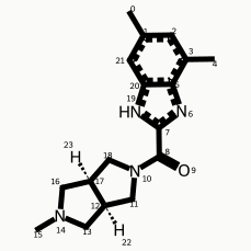 Cc1cc(C)c2nc(C(=O)N3C[C@H]4CN(C)C[C@H]4C3)[nH]c2c1